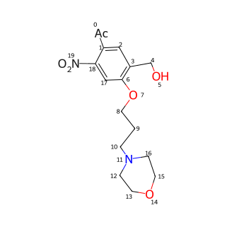 CC(=O)c1cc(CO)c(OCCCN2CCOCC2)cc1[N+](=O)[O-]